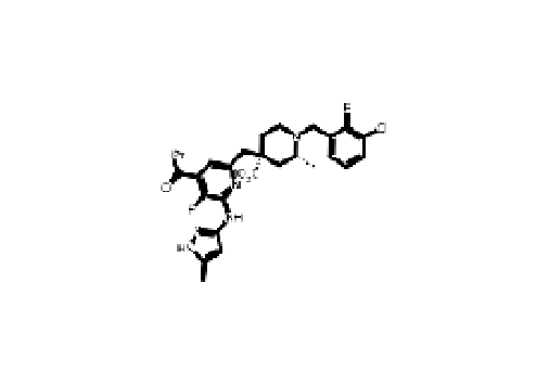 Cc1cc(Nc2nc(C[C@@]3(C(=O)O)CCN(Cc4cccc(Cl)c4F)[C@H](C)C3)cc(C(=O)C(C)C)c2F)n[nH]1